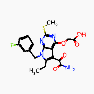 CCc1c(C(=O)C(N)=O)c2c(OCC(=O)O)nc(SC)nc2n1Cc1cccc(F)c1